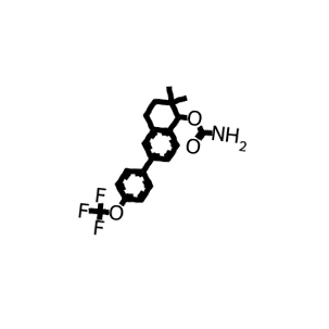 CC1(C)CCc2cc(-c3ccc(OC(F)(F)F)cc3)ccc2C1OC(N)=O